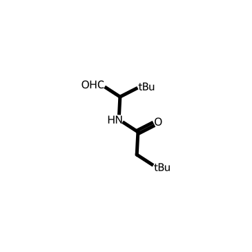 CC(C)(C)CC(=O)NC(C=O)C(C)(C)C